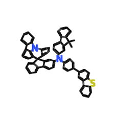 CC1(C)c2ccccc2-c2ccc(N(c3ccc(-c4ccc5sc6ccccc6c5c4)cc3)c3ccc4c(c3)C3(c5ccccc5-4)c4ccccc4-n4c5ccccc5c5cccc3c54)cc21